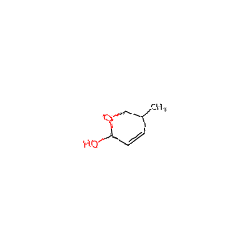 CC1C=CC(O)OC1